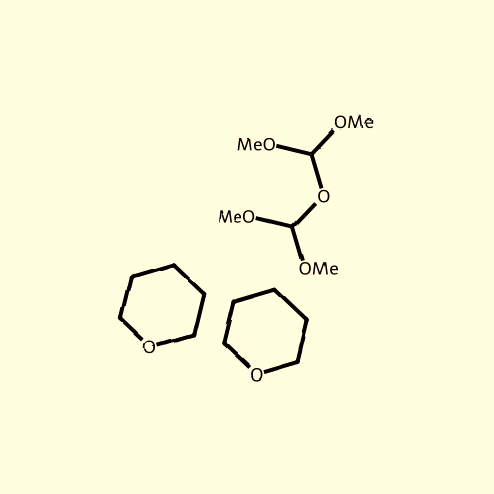 C1CCOCC1.C1CCOCC1.COC(OC)OC(OC)OC